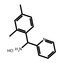 Cc1ccc(C(N)c2ccccn2)c(C)c1.Cl